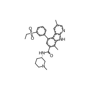 CCS(=O)(=O)c1cccc(-c2cc(C(=O)N[C@H]3CCCN(C)C3)c(C)c3[nH]c4ncc(C)cc4c23)c1